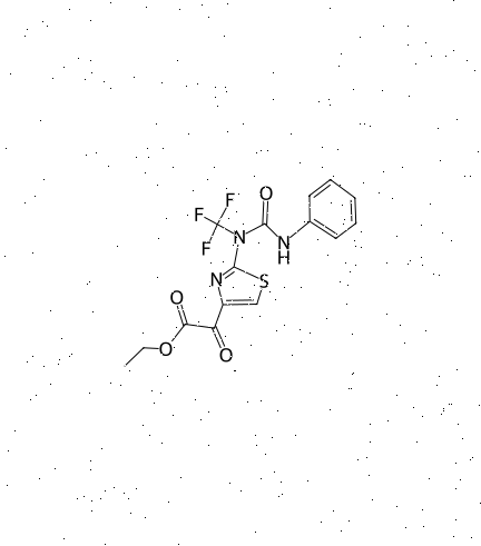 CCOC(=O)C(=O)c1csc(N(C(=O)Nc2ccccc2)C(F)(F)F)n1